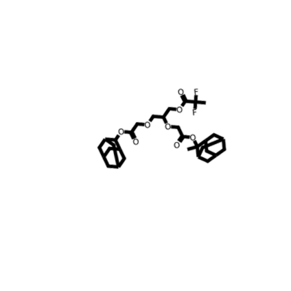 CC(F)(F)C(=O)OCC(COCC(=O)OC1C2CC3CC(C2)CC1C3)OCC(=O)OC1(C)C2CC3CC(C2)CC1C3